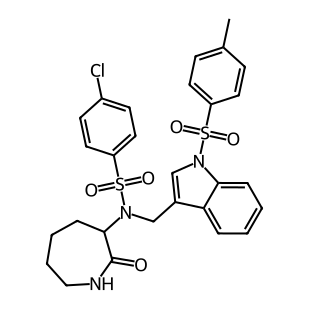 Cc1ccc(S(=O)(=O)n2cc(CN(C3CCCCNC3=O)S(=O)(=O)c3ccc(Cl)cc3)c3ccccc32)cc1